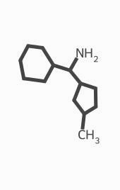 CC1CCC(C(N)C2CCCCC2)C1